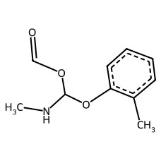 CNC(OC=O)Oc1ccccc1C